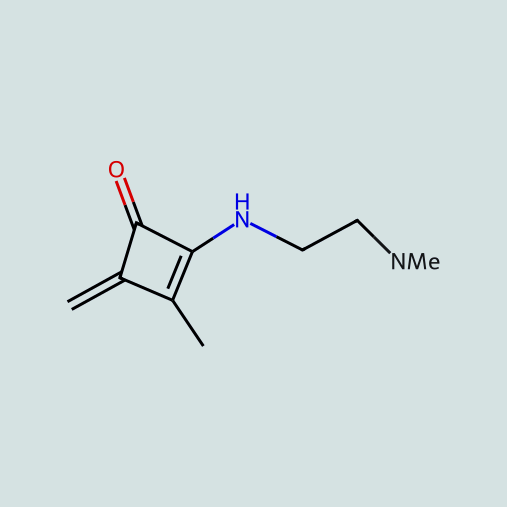 C=C1C(=O)C(NCCNC)=C1C